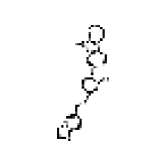 Cn1c2c(c3ccc(-n4ccc(OCc5ccc6nccn6c5)cc4=O)cc31)CCCC2